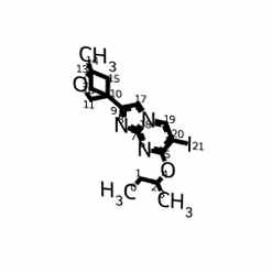 CCC(C)Oc1nc2nc(C34COC(C)(C3)C4)cn2cc1I